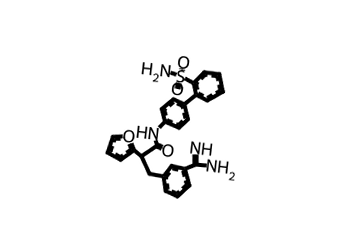 N=C(N)c1cccc(CC(C(=O)Nc2ccc(-c3ccccc3S(N)(=O)=O)cc2)c2ccco2)c1